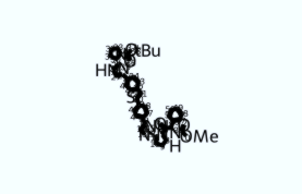 COC(=O)N[C@@H](C(=O)N1CCC[C@H]1c1ncc(-c2ccc(-c3cc4ccc(-c5c[nH]c([C@@H]6CCCN6C(=O)OC(C)(C)C)n5)cc4s3)cc2)[nH]1)c1ccccc1